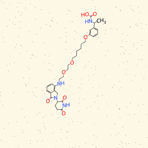 CC(NC(=O)O)c1cccc(OCCCCCCOCCOCCNc2cccc3c2CN(C2CCC(=O)NC2=O)C3=O)c1